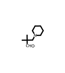 CC(C)([C]=O)CN1CCCCC1